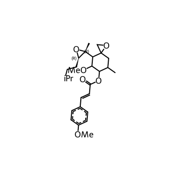 COc1ccc(C=CC(=O)OC2C(C)CC3(CO3)C([C@@]3(C)O[C@@H]3CCC(C)C)C2OC)cc1